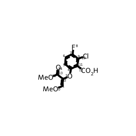 COC=C(Oc1ccc(F)c(Cl)c1C(=O)O)C(=O)OC